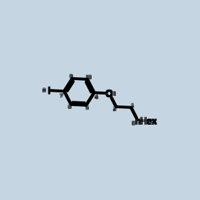 CCCCCCCCOc1ccc(I)cc1